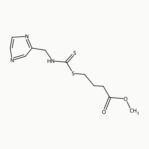 COC(=O)CCCSC(=S)NCc1cnccn1